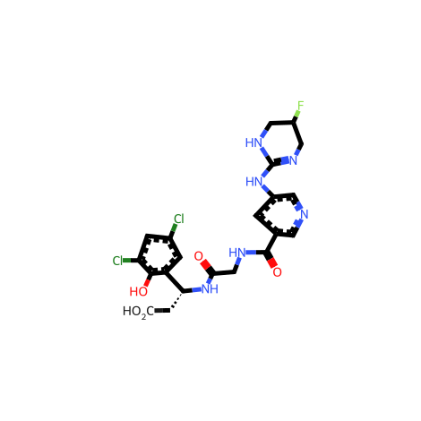 O=C(O)C[C@@H](NC(=O)CNC(=O)c1cncc(NC2=NCC(F)CN2)c1)c1cc(Cl)cc(Cl)c1O